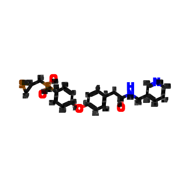 O=C(Cc1ccc(Oc2ccc(S(=O)(=O)CC3CS3)cc2)cc1)NCc1cccnc1